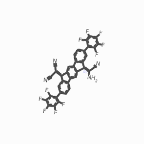 N#CC(C#N)=C1c2cc(-c3c(F)c(F)c(F)c(F)c3F)ccc2-c2cc3c(cc21)-c1ccc(-c2c(F)c(F)c(F)c(F)c2F)cc1/C3=C(/N)C#N